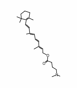 CC1=C(/C=C/C(C)=C/C=C/C(C)=C/COC(=O)CCCN(C)C)C(C)(C)CCC1